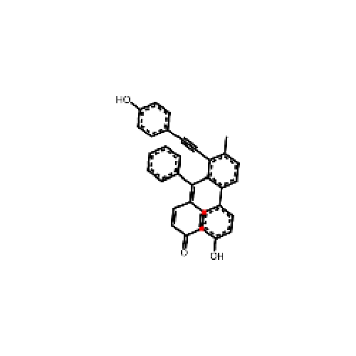 Cc1ccc(-c2ccc(O)cc2)c(C(=C2C=CC(=O)C=C2)c2ccccc2)c1C#Cc1ccc(O)cc1